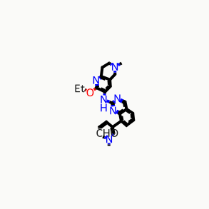 CCOc1nc2c(cc1Nc1ncc3cccc(C(/C=C\C=O)=C/N(C)C)c3n1)CN(C)CC2